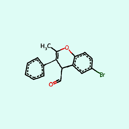 CC1=C(c2ccccc2)C(C=O)c2cc(Br)ccc2O1